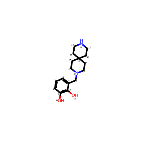 Oc1cccc(CN2CCC3(CCNCC3)CC2)c1O